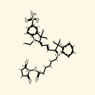 CCN1/C(=C/C=C/C2=[N+](CCCCCC(=O)ON3C(=O)CCC3=O)c3ccccc3C2(C)C)C(C)(C)c2cc(S(=O)(=O)O)ccc21